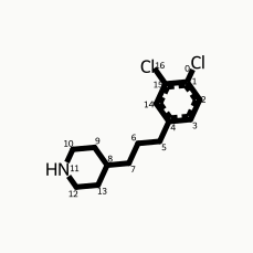 Clc1ccc(CCCC2CCNCC2)cc1Cl